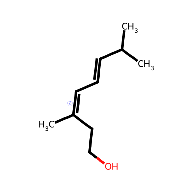 C/C(=C/C=CC(C)C)CCO